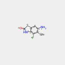 CCCc1c(N)cc2c(c1F)NC(=O)C2